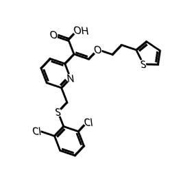 O=C(O)C(=COCCc1cccs1)c1cccc(CSc2c(Cl)cccc2Cl)n1